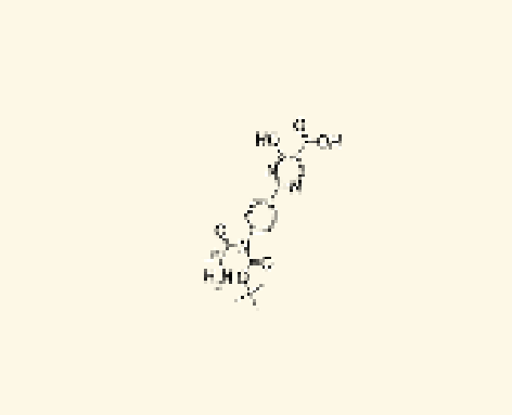 C[C@@H](N)C(=O)N(C(=O)OC(C)(C)C)c1ccc(-c2ncc(C(=O)O)c(O)n2)cc1